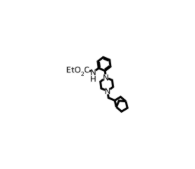 CCOC(=O)Nc1ccccc1N1CCN(CC2CC3CCC2C3)CC1